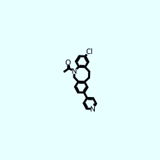 CC(=O)N1Cc2ccc(-c3ccncc3)cc2CCc2cc(Cl)ccc21